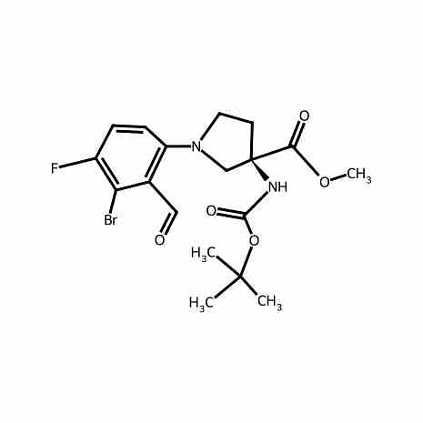 COC(=O)[C@@]1(NC(=O)OC(C)(C)C)CCN(c2ccc(F)c(Br)c2C=O)C1